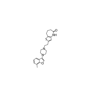 Cc1cccc2c(N3CCN(CCc4cc5c(s4)CCCC(=O)N5)CC3)coc12